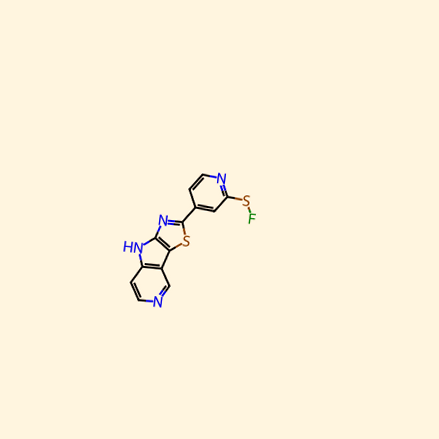 FSc1cc(-c2nc3[nH]c4ccncc4c3s2)ccn1